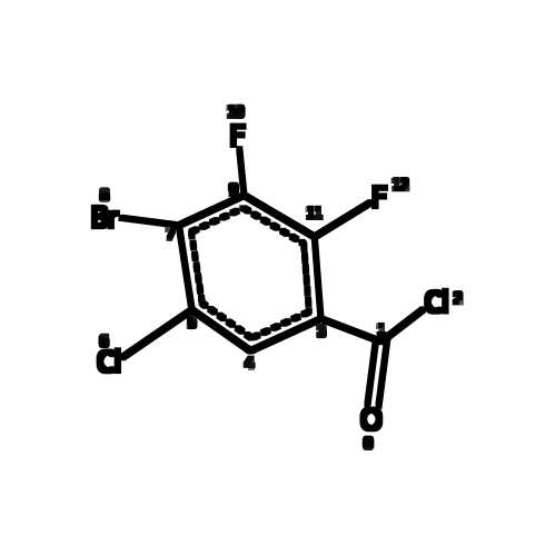 O=C(Cl)c1cc(Cl)c(Br)c(F)c1F